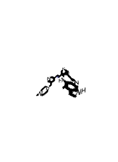 Cc1c(Nc2c(C#N)cncc2/C=C/c2cncc(CN3CCN(C)CC3)c2)ccc2[nH]ccc12